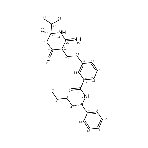 C=C(N[C@@H](CCCC)c1ccccc1)c1cccc(CCC2C(=N)N[C@](C)(C(C)C)CC2=O)c1